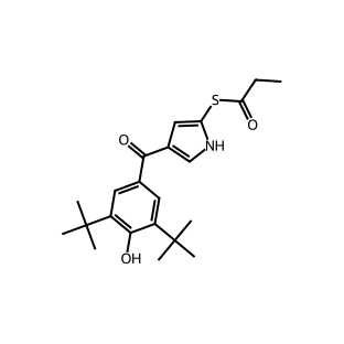 CCC(=O)Sc1cc(C(=O)c2cc(C(C)(C)C)c(O)c(C(C)(C)C)c2)c[nH]1